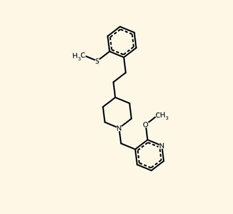 COc1ncccc1CN1CCC(CCc2ccccc2SC)CC1